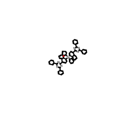 c1ccc(-c2nc(-c3ccccc3)nc(-c3ccc([Si](c4ccccc4)(c4ccccc4)c4ccc(-c5nc(-c6ccccc6)nc(-c6ccccc6)n5)c5ccccc45)c4ccccc34)n2)cc1